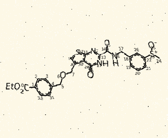 CCOC(=O)c1ccc(COCc2csc3nc(C(=O)NCc4cccc([S+](C)[O-])c4)[nH]c(=O)c23)cc1